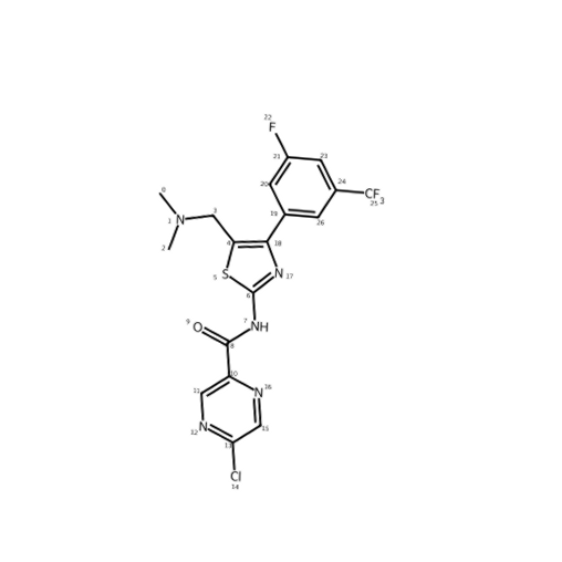 CN(C)Cc1sc(NC(=O)c2cnc(Cl)cn2)nc1-c1cc(F)cc(C(F)(F)F)c1